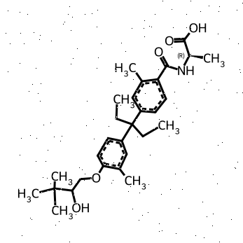 CCC(CC)(c1ccc(OCC(O)C(C)(C)C)c(C)c1)c1ccc(C(=O)N[C@H](C)C(=O)O)c(C)c1